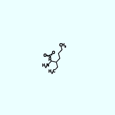 CCCCC(CC)C(N)[SH](=O)=O